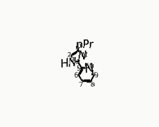 CCCc1c[nH]c(-c2ccccn2)n1